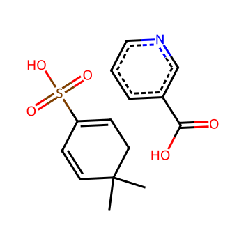 CC1(C)C=CC(S(=O)(=O)O)=CC1.O=C(O)c1cccnc1